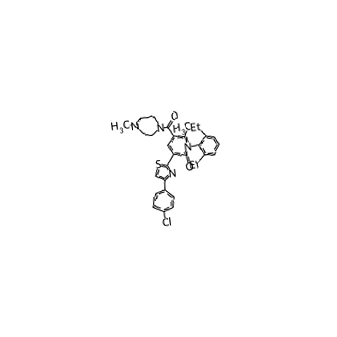 CCc1cccc(CC)c1-n1c(C)c(C(=O)N2CCN(C)CC2)cc(-c2nc(-c3ccc(Cl)cc3)cs2)c1=O